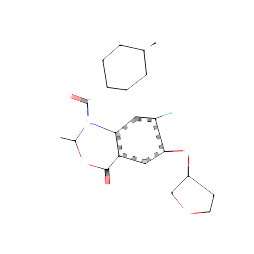 CC1OC(=O)c2cc(OC3CCOC3)c(F)cc2N1C(=O)[C@H]1CC[C@H](C)CC1